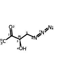 CC(=O)[C@H](O)CN=[N+]=[N-]